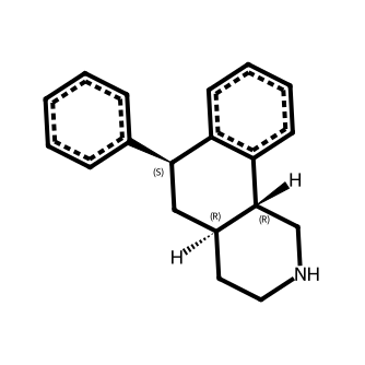 c1ccc([C@@H]2C[C@@H]3CCNC[C@H]3c3ccccc32)cc1